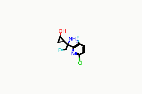 N[C@](CF)(c1nc(Cl)ccc1F)[C@H]1C[C@H]1O